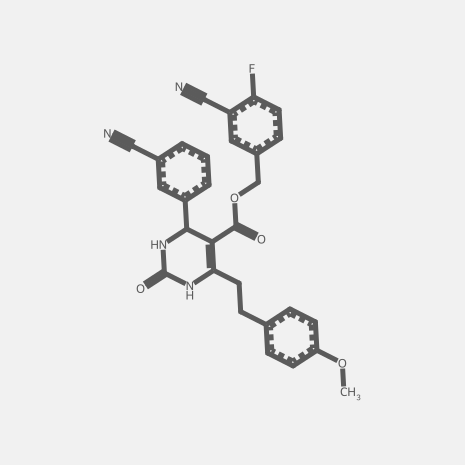 COc1ccc(CCC2=C(C(=O)OCc3ccc(F)c(C#N)c3)C(c3cccc(C#N)c3)NC(=O)N2)cc1